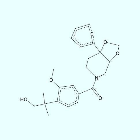 COc1cc(C(=O)N2CCC3(c4ccccc4)OCOC3C2)ccc1C(C)(C)CO